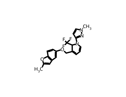 Cc1cc2cc(OCC3=CC=CN(c4ccn(C)n4)C3C(F)(F)F)ccc2o1